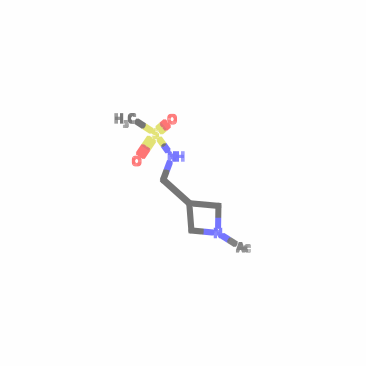 CC(=O)N1CC(CNS(C)(=O)=O)C1